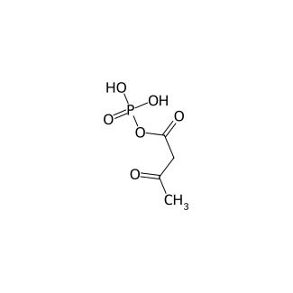 CC(=O)CC(=O)OP(=O)(O)O